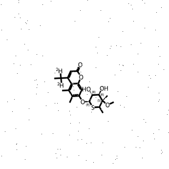 [2H]C([2H])(C)c1cc(=O)oc2cc(O[C@@H]3SC(C)[C@@](C)(OC)[C@H](O)[C@H]3O)c(C)c(C)c12